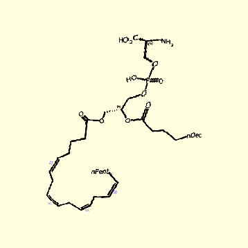 CCCCC/C=C\C/C=C\C/C=C\C/C=C\CCCC(=O)OC[C@H](COP(=O)(O)OC[C@H](N)C(=O)O)OC(=O)CCCCCCCCCCCCC